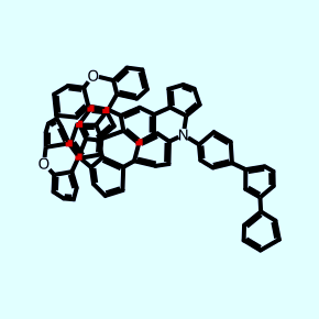 c1ccc(-c2cccc(-c3ccc(N(c4ccc(-c5cccc6c5-c5ccccc5C65c6ccccc6Oc6ccccc65)cc4)c4ccccc4-c4ccc5c(c4)C4(c6ccccc6Oc6ccccc64)c4ccccc4-5)cc3)c2)cc1